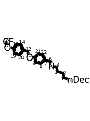 CCCCCCCCCCCCCCN=Cc1ccc(OCc2ccc(OC(F)(F)F)cc2)cc1